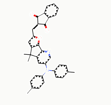 Cc1ccc(N(c2ccc(C)cc2)c2cnc3c(c2)C(C)(C)c2cc(C=C4C(=O)c5ccccc5C4=O)oc2-3)cc1